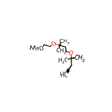 C#CCC(C)(C)OCCC(C)(C)OCCOC